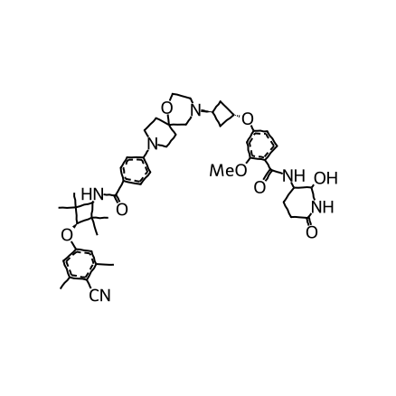 COc1cc(O[C@H]2C[C@H](N3CCOC4(CCN(c5ccc(C(=O)N[C@H]6C(C)(C)[C@H](Oc7cc(C)c(C#N)c(C)c7)C6(C)C)cc5)CC4)C3)C2)ccc1C(=O)NC1CCC(=O)NC1O